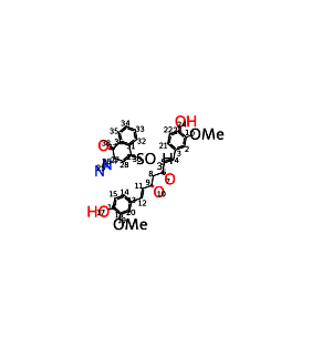 COc1cc(C=CC(=O)CC(=O)C=Cc2ccc(O)c(OC)c2)ccc1O.[N-]=[N+]=C1C=C(S(=O)(=O)O)c2ccccc2C1=O